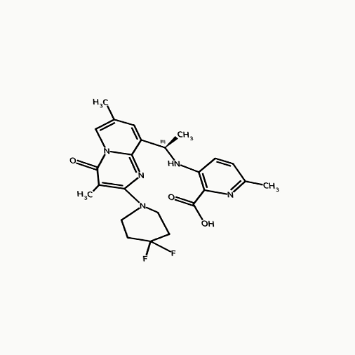 Cc1cc([C@@H](C)Nc2ccc(C)nc2C(=O)O)c2nc(N3CCC(F)(F)CC3)c(C)c(=O)n2c1